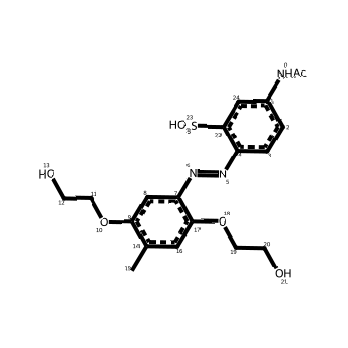 CC(=O)Nc1ccc(N=Nc2cc(OCCO)c(C)cc2OCCO)c(S(=O)(=O)O)c1